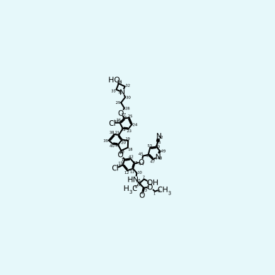 CCOC(=O)[C@](C)(CO)NCc1cc(Cl)c(O[C@H]2CCc3c(-c4cccc(OCCCN5CC(O)C5)c4Cl)cccc32)cc1OCc1cncc(C#N)c1